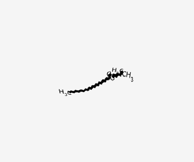 CCCCCCCCCCCCCCCCCCCCCC(=O)OCCCCC(C)C